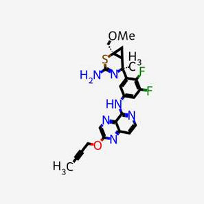 CC#CCOc1cnc2c(Nc3cc(F)c(F)c([C@@]4(C)N=C(N)S[C@@]5(COC)CC54)c3)nccc2n1